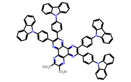 CCOC(=O)c1nc2c(nc1C(=O)OCC)c1nc(-c3ccc(-n4c5ccccc5c5ccccc54)cc3)c(-c3ccc(-n4c5ccccc5c5ccccc54)cc3)nc1c1nc(-c3ccc(-n4c5ccccc5c5ccccc54)cc3)c(-c3ccc(-n4c5ccccc5c5ccccc54)cc3)nc21